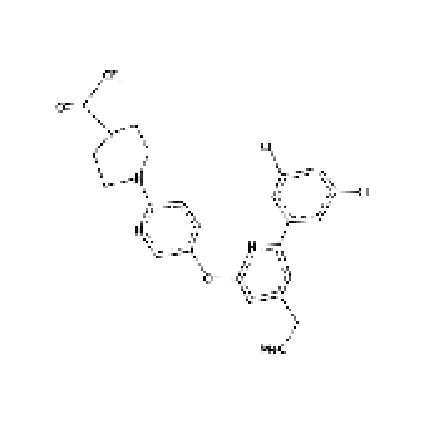 COCc1cc(Oc2ccc(N3CCN(C(=O)C(F)(F)F)CC3)nc2)nc(-c2cc(Cl)cc(Cl)c2)c1